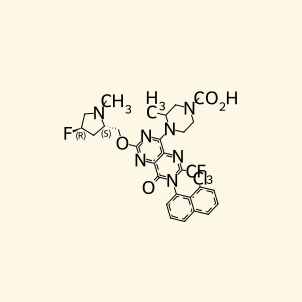 CC1CN(C(=O)O)CCN1c1nc(OC[C@@H]2C[C@@H](F)CN2C)nc2c(=O)n(-c3cccc4cccc(Cl)c34)c(C(F)(F)F)nc12